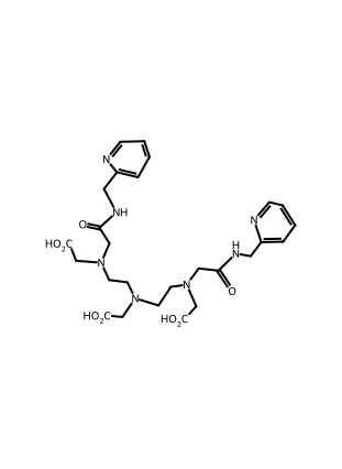 O=C(O)CN(CCN(CC(=O)O)CC(=O)NCc1ccccn1)CCN(CC(=O)O)CC(=O)NCc1ccccn1